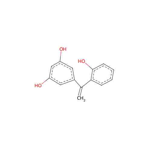 C=C(c1cc(O)cc(O)c1)c1ccccc1O